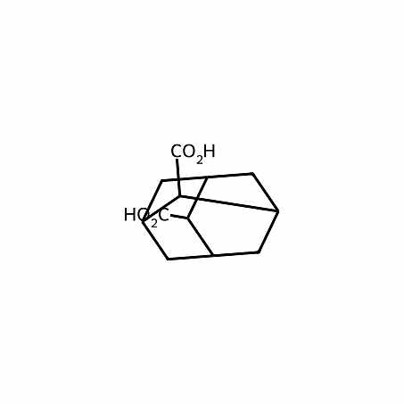 O=C(O)C1C2CC3CC1CC(C2)C3C(=O)O